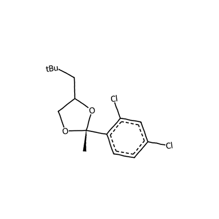 CC(C)(C)CC1CO[C@@](C)(c2ccc(Cl)cc2Cl)O1